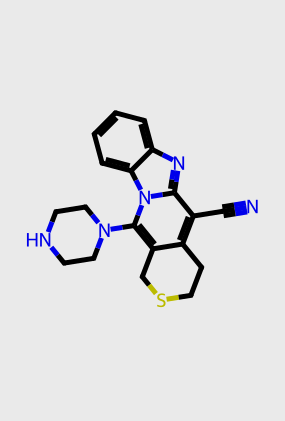 N#Cc1c2c(c(N3CCNCC3)n3c1nc1ccccc13)CSCC2